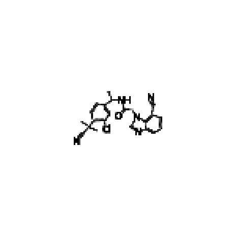 CC(NC(=O)Cn1cnc2cccc(C#N)c21)c1ccc(C(C)(C)C#N)c(Cl)c1